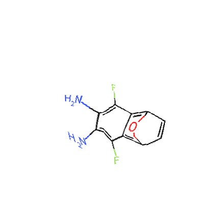 Nc1c(N)c(F)c2c3ccc(o3)c2c1F